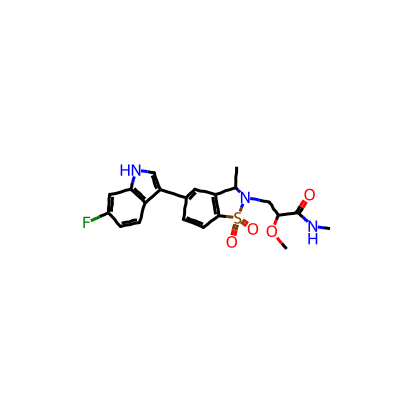 CNC(=O)C(CN1C(C)c2cc(-c3c[nH]c4cc(F)ccc34)ccc2S1(=O)=O)OC